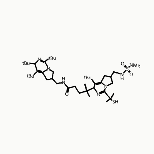 CNS(=O)(=O)NCC1CC2=C(C(C)(C)C)C(C(C)(C)CCC(=O)NCC3CC4=C(C(C)(C)C)C(C(C)(C)C)N=C(C(C)(C)C)N4C3)N=C(C(C)(C)S)N2C1